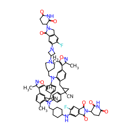 Cc1ccc(-c2c(C)noc2C)cc1N(CC1CCC(Nc2cc3c(cc2F)C(=O)N(C2CCC(=O)NC2=O)C3=O)CC1)c1ccc(C2(C#N)CC2Cc2ccc(-c3c(C)noc3C)cc2N(CC2CCN(C3CN(c4cc5c(cc4F)CN(C4CCC(=O)NC4=O)C5=O)C3)CC2)c2ccc(C3(C#N)CC3)cc2)cc1